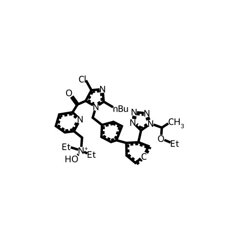 CCCCc1nc(Cl)c(C(=O)c2cccc(C[N+](O)(CC)CC)n2)n1Cc1ccc(-c2ccccc2-c2nnnn2C(C)OCC)cc1